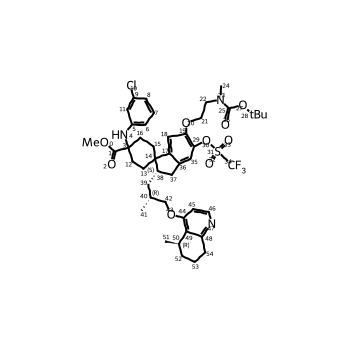 COC(=O)C1(Nc2cccc(Cl)c2)CCC2(CC1)c1cc(OCCN(C)C(=O)OC(C)(C)C)c(OS(=O)(=O)C(F)(F)F)cc1C[C@@H]2C[C@@H](C)COc1ccnc2c1[C@H](C)CCC2